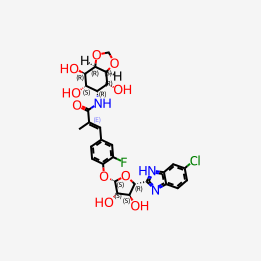 C/C(=C\c1ccc(O[C@@H]2O[C@H](c3nc4ccc(Cl)cc4[nH]3)[C@@H](O)[C@@H]2O)c(F)c1)C(=O)N[C@@H]1[C@H](O)[C@@H](O)[C@H]2OCO[C@H]2[C@@H]1O